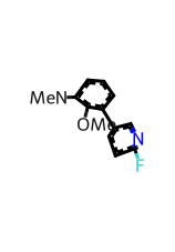 CNc1cccc(-c2ccc(F)nc2)c1OC